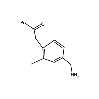 CC(C)C(=O)Cc1ccc(CN)cc1F